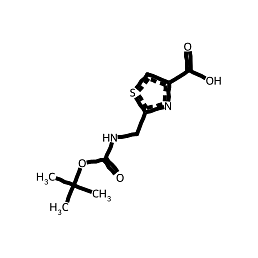 CC(C)(C)OC(=O)NCc1nc(C(=O)O)cs1